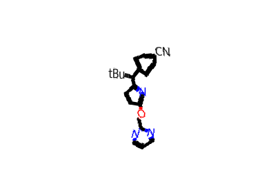 CC(C)(C)C(c1ccc(C#N)cc1)c1ccc(OCc2ncccn2)cn1